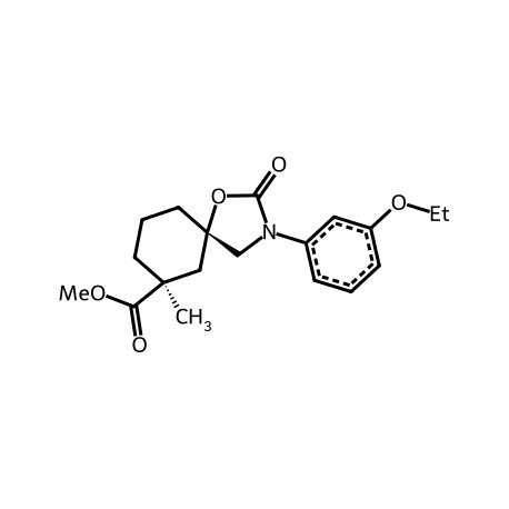 CCOc1cccc(N2C[C@@]3(CCC[C@](C)(C(=O)OC)C3)OC2=O)c1